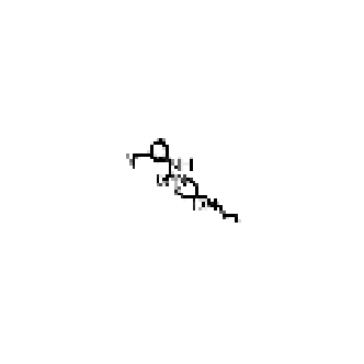 CCCCCCC1(O)CCN(C(=O)Nc2cccc(C#N)c2)CC1